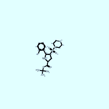 CC(C)(C)OC(=O)C1CC(S(=O)(=O)N2CCOCC2)C(c2ccccc2F)N1